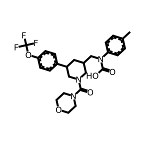 Cc1ccc(N(CC2CC(c3ccc(OC(F)(F)F)cc3)CN(C(=O)N3CCOCC3)C2)C(=O)O)cc1